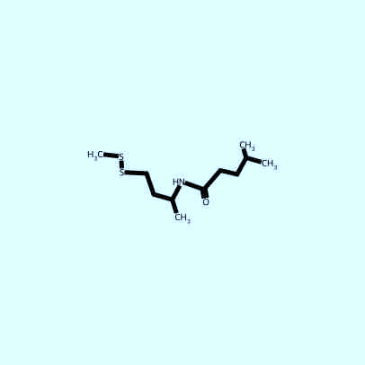 CSSCCC(C)NC(=O)CCC(C)C